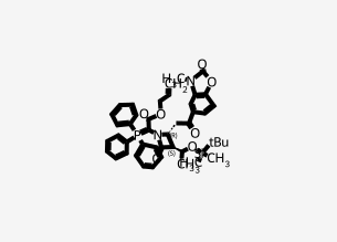 C=CCOC(=O)C(N1C(=O)[C@H](C(C)O[Si](C)(C)C(C)(C)C)[C@H]1CC(=O)c1ccc2oc(=O)n(C)c2c1)=P(c1ccccc1)(c1ccccc1)c1ccccc1